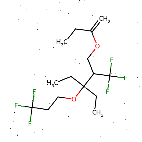 C=C(CC)OCC(C(F)(F)F)C(CC)(CC)OCCC(F)(F)F